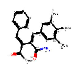 COC(=O)C(=Cc1ccccc1)C(=Cc1cc(OC)c(OC)c(OC)c1)C(N)=O